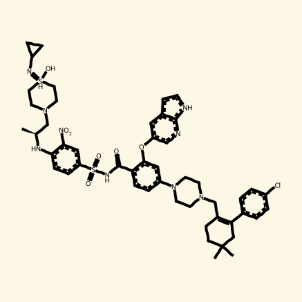 C[C@@H](CN1CC[SH](O)(=NC2CC2)CC1)Nc1ccc(S(=O)(=O)NC(=O)c2ccc(N3CCN(CC4=C(c5ccc(Cl)cc5)CC(C)(C)CC4)CC3)cc2Oc2cnc3[nH]ccc3c2)cc1[N+](=O)[O-]